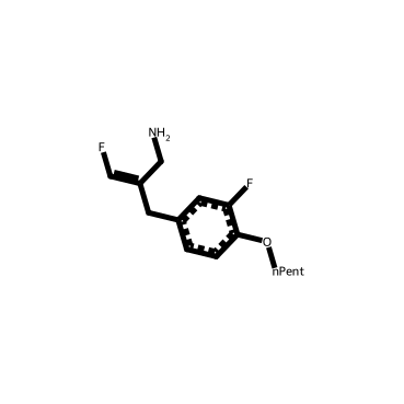 CCCCCOc1ccc(CC(=CF)CN)cc1F